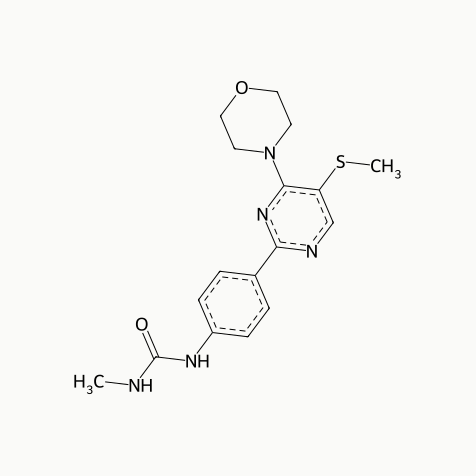 CNC(=O)Nc1ccc(-c2ncc(SC)c(N3CCOCC3)n2)cc1